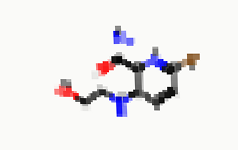 NC(=O)c1nc(Br)ccc1NCCO